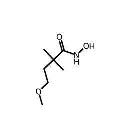 COCCC(C)(C)C(=O)NO